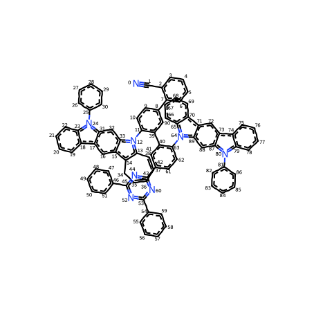 N#Cc1ccccc1-c1ccc(-n2c3c(c4cc5c6ccccc6n(-c6ccccc6)c5cc42)CC=CC=C3)c(-c2cc(-c3nc(-c4ccccc4)nc(-c4ccccc4)n3)ccc2-n2c3ccccc3c3cc4c5ccccc5n(-c5ccccc5)c4cc32)c1